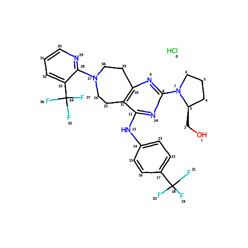 Cl.OC[C@@H]1CCCN1c1nc2c(c(Nc3ccc(C(F)(F)F)cc3)n1)CCN(c1ncccc1C(F)(F)F)CC2